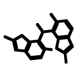 CC1=Cc2ccc(C)c(C(C)c3c(C)ccc4c3CC(C)=C4)c2C1